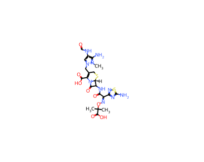 Cn1c(N)c(NC=O)c[n+]1CC1=C(C(=O)O)N2C(=O)C(NC(=O)/C(=N\OC(C)(C)C(=O)O)c3nsc(N)n3)[C@H]2SC1